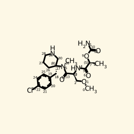 COC[C@H](NC(=O)[C@H](C)OC(N)=O)C(=O)N(C)[C@@]1(Cc2ccc(Cl)cc2)CCCNC1